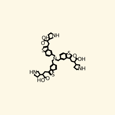 O=C(O)C(Cc1csc2ccc(CN(Cc3ccc4scc(CC(C(=O)O)C5CCNC5)c4c3)Cc3ccc4scc(CC(C(=O)O)C5CCNC5)c4c3)cc12)C1CCNC1